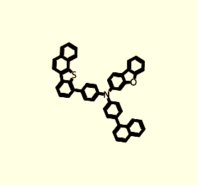 c1ccc2c(-c3ccc(N(c4ccc(-c5cccc6c5sc5c7ccccc7ccc65)cc4)c4ccc5c(c4)oc4ccccc45)cc3)cccc2c1